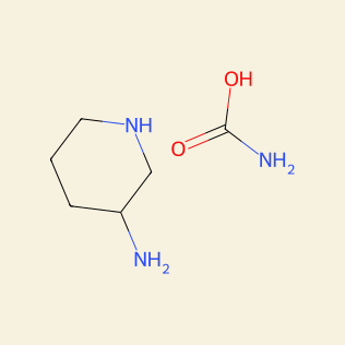 NC(=O)O.NC1CCCNC1